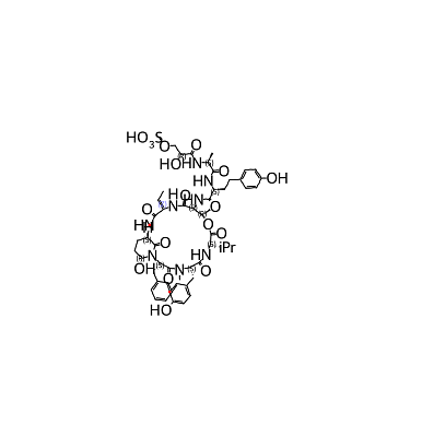 C/C=C1\NC(=O)[C@@H](NC(=O)[C@H](CCc2ccc(O)cc2)NC(=O)[C@H](C)NC(=O)[C@H](O)COS(=O)(=O)O)[C@@H](C)OC(=O)[C@H](C(C)C)NC(=O)[C@H](Cc2ccc(O)cc2)N(C)C(=O)[C@H](Cc2ccccc2)N2C(=O)[C@H](CC[C@H]2O)NC1=O